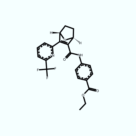 CCOC(=O)c1ccc(NC(=O)C2=C(c3cccc(C(F)(F)F)n3)[C@@H]3CC[C@@H]2O3)cc1